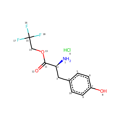 Cl.N[C@@H](Cc1ccc(O)cc1)C(=O)OCC(F)(F)F